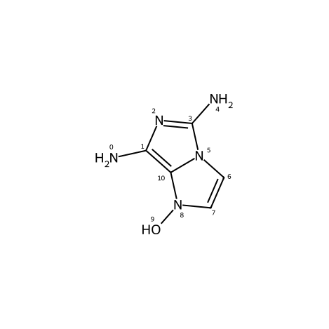 Nc1nc(N)n2ccn(O)c12